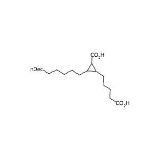 CCCCCCCCCCCCCCCC1C(CCCCC(=O)O)C1C(=O)O